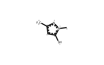 Cn1nc(C(F)(F)F)cc1S